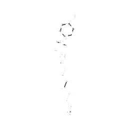 Cc1ccc(S(=O)(=O)ONCCC/C=C/CCCN)cc1